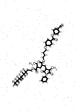 CCC(CC(CC1C(=O)N(c2ccccc2)C(=O)C1C)C(=O)OCCCCOc1ccc(C(=O)Oc2ccc(C#N)cc2)cc1)C(=O)OCCC(F)(F)C(F)(F)C(F)(F)C(F)(F)C(F)(F)C(F)(F)F